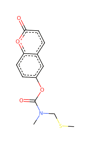 CSCN(C)C(=O)Oc1ccc2oc(=O)ccc2c1